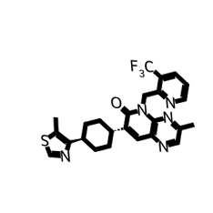 Cc1cnc2cc([C@H]3CC[C@H](c4ncsc4C)CC3)c(=O)n(Cc3ncccc3C(F)(F)F)c2n1